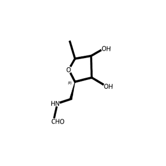 CC1O[C@H](CNC=O)C(O)C1O